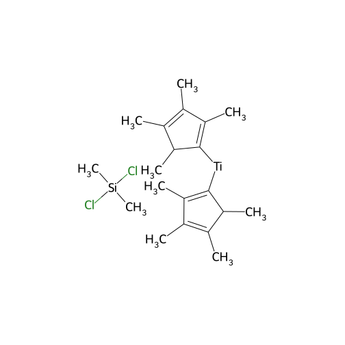 CC1=C(C)C(C)[C]([Ti][C]2=C(C)C(C)=C(C)C2C)=C1C.C[Si](C)(Cl)Cl